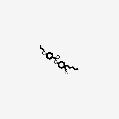 CCCCCC1(C#N)CCC(OC(=O)c2ccc(OCCC)cc2)CC1